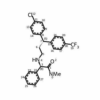 CNC(=O)[C@H](NCC[C@H](c1ccc(Cl)cc1)c1ccc(C(F)(F)F)cc1)c1ccccc1